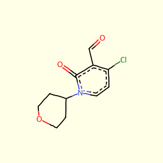 O=Cc1c(Cl)ccn(C2CCOCC2)c1=O